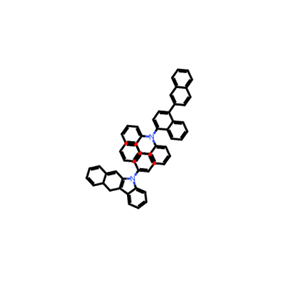 C1=CC2=Cc3c(c4ccccc4n3-c3cccc(-c4ccccc4N(c4ccccc4-c4ccccc4)c4ccc(-c5ccc6ccccc6c5)c5ccccc45)c3)CC2C=C1